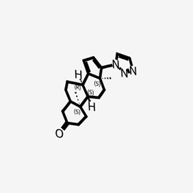 C[C@]12CC[C@H]3[C@@H](CCC4CC(=O)CC[C@@]43C)C1=CC=C2n1ccnn1